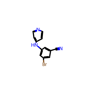 N#Cc1cc(Br)cc(Nc2ccncc2)c1